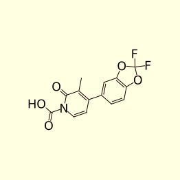 Cc1c(-c2ccc3c(c2)OC(F)(F)O3)ccn(C(=O)O)c1=O